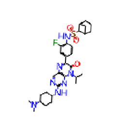 CC(C)n1c(=O)c(-c2ccc(NS(=O)(=O)C3C4CCCC3C4)c(F)c2)nc2cnc(N[C@H]3CC[C@H](N(C)C)CC3)nc21